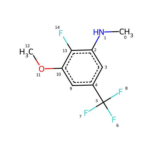 CNc1cc(C(F)(F)F)cc(OC)c1F